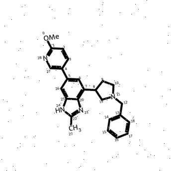 COc1ccc(-c2cc(C3CCN(Cc4ccccc4)C3)c3nc(C)[nH]c3c2)cn1